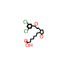 O=C(O)CCCCCCC1C(=O)CCC1C=CC(=O)c1cc(Cl)cc(Cl)c1